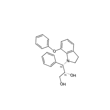 OC[C@@H](O)[C@H](c1ccccc1)N1CCc2cccc(Oc3ccccc3)c21